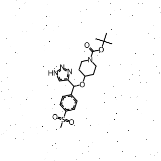 CC(C)(C)OC(=O)N1CCC(OC(c2ccc(S(C)(=O)=O)cc2)c2c[nH]nn2)CC1